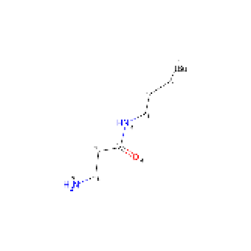 CC(C)(C)CCCNC(=O)CCN